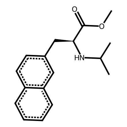 COC(=O)[C@H](Cc1ccc2ccccc2c1)NC(C)C